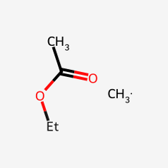 CCOC(C)=O.[CH3]